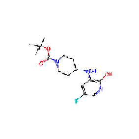 CC(C)(C)OC(=O)N1CCC(Nc2cc(F)cnc2O)CC1